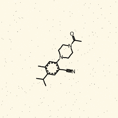 CC(=O)N1CCN(c2cc(C)c(C(C)C)cc2C#N)CC1